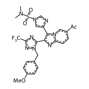 COc1ccc(Cn2nc(C(F)(F)F)nc2-c2nc3ccc(C(C)=O)cn3c2-c2cn(S(=O)(=O)N(C)C)cn2)cc1